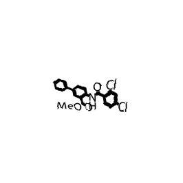 COC(=O)c1cc(-c2ccccc2)ccc1NC(=O)c1ccc(Cl)cc1Cl